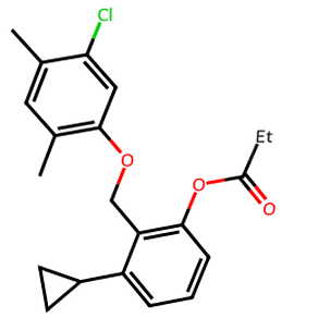 CCC(=O)Oc1cccc(C2CC2)c1COc1cc(Cl)c(C)cc1C